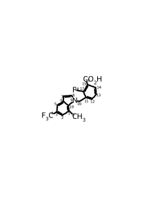 Cc1cc(C(F)(F)F)cc2ccn(Cc3cccc(C(=O)O)c3F)c12